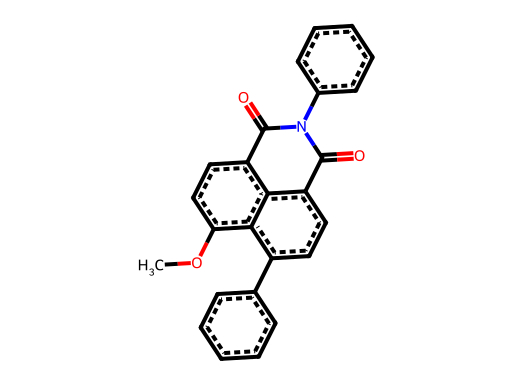 COc1ccc2c3c(ccc(-c4ccccc4)c13)C(=O)N(c1ccccc1)C2=O